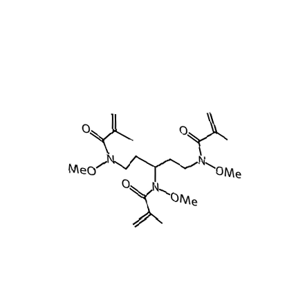 C=C(C)C(=O)N(CCC(CCN(OC)C(=O)C(=C)C)N(OC)C(=O)C(=C)C)OC